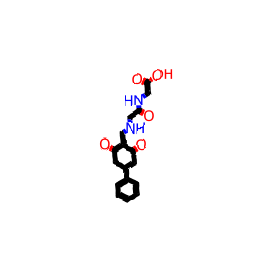 O=C(O)CNC(=O)CNC=C1C(=O)CC(c2ccccc2)CC1=O